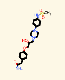 CS(=O)(=O)Nc1ccc(N2CCN(CC(O)COc3ccc(CC(N)=O)cc3)CC2)cc1